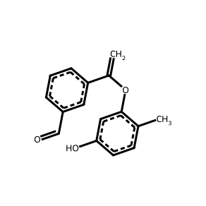 C=C(Oc1cc(O)ccc1C)c1cccc(C=O)c1